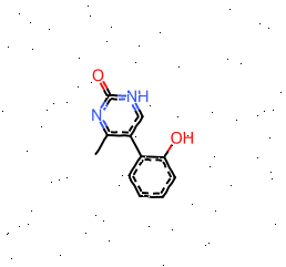 Cc1nc(=O)[nH]cc1-c1ccccc1O